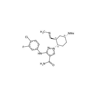 CN=C[C@H]1C[C@H](NC)CC[C@@H]1n1cc(C(N)=O)c(Nc2ccc(Cl)c(F)c2)n1